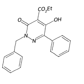 CCOC(=O)c1c(O)c(-c2ccccc2)nn(Cc2ccccc2)c1=O